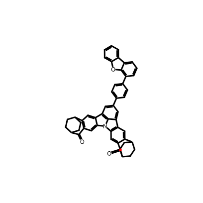 O=C1c2cc3c(cc2C2CCC1CC2)c1cc(-c2ccc(-c4cccc5c4oc4ccccc45)cc2)cc2c4cc5c(cc4n3c12)C(=O)C1CCC5CC1